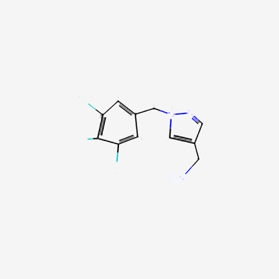 NCc1cnn(Cc2cc(F)c(F)c(F)c2)c1